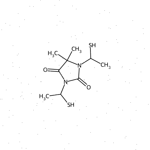 CC(S)N1C(=O)N(C(C)S)C(C)(C)C1=O